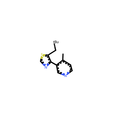 Cc1ccncc1-c1ncsc1CC(C)(C)C